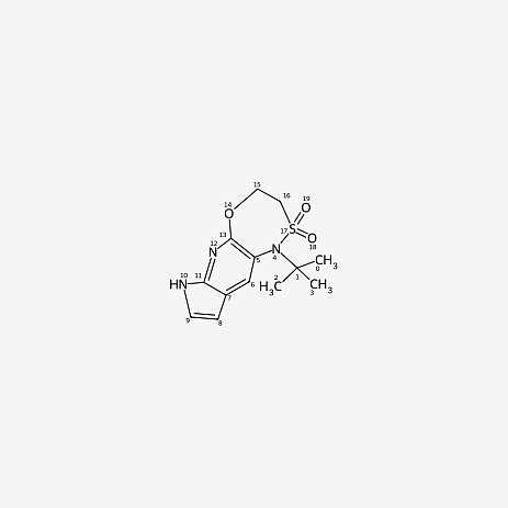 CC(C)(C)N1c2cc3cc[nH]c3nc2OCCS1(=O)=O